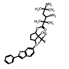 CC(C)(N)CC(N)C(C)(C)C(=O)OC1CCC(Oc2ccc3cc(-c4ccccc4)sc3c2)C1(C)C(F)(F)F